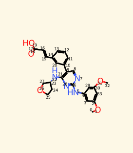 COc1cc(Nc2ncc(-c3cccc(C=CC(=O)O)c3)c(N[C@@H]3CCOC3)n2)cc(OC)c1